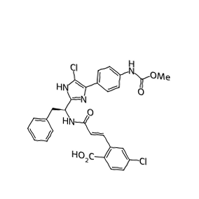 COC(=O)Nc1ccc(-c2nc([C@H](Cc3ccccc3)NC(=O)/C=C/c3cc(Cl)ccc3C(=O)O)[nH]c2Cl)cc1